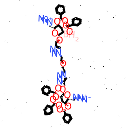 B[C@@H]1[C@H](OCc2cn(CCOCCn3cc(CO[C@@H]4O[C@H](CN=[N+]=[N-])[C@@H](OC(=O)c5ccccc5)[C@H](OC(=O)c5ccccc5)[C@@H]4OC(=O)c4ccccc4)nn3)nn2)O[C@H](CN=[N+]=[N-])[C@@H](OC(=O)c2ccccc2)[C@@H]1OC(=O)c1ccccc1